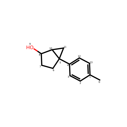 Cc1ccc(C23CCC(O)C2C3)cc1